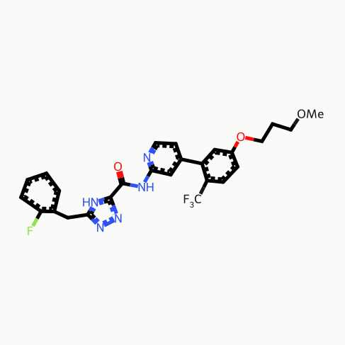 COCCCOc1ccc(C(F)(F)F)c(-c2ccnc(NC(=O)c3nnc(Cc4ccccc4F)[nH]3)c2)c1